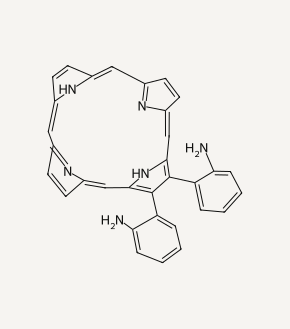 Nc1ccccc1-c1c(-c2ccccc2N)c2cc3nc(cc4ccc(cc5nc(cc1[nH]2)C=C5)[nH]4)C=C3